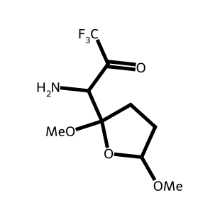 COC1CCC(OC)(C(N)C(=O)C(F)(F)F)O1